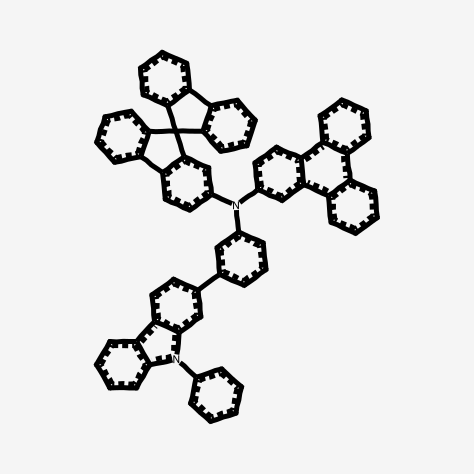 c1ccc(-n2c3ccccc3c3ccc(-c4cccc(N(c5ccc6c(c5)C5(c7ccccc7-c7ccccc75)c5ccccc5-6)c5ccc6c7ccccc7c7ccccc7c6c5)c4)cc32)cc1